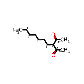 CCCCCCCC(C(C)=O)C(C)=O